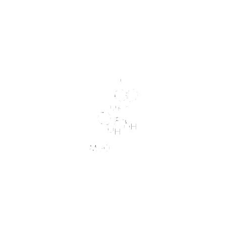 COCCOc1cccc2c1[C@]1(O)[C@H](O)C[C@@H](c3ccccc3)[C@]1(c1ccc(Cl)cc1)O2